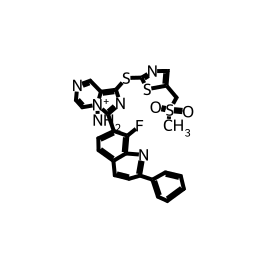 CS(=O)(=O)Cc1cnc(SC2=C3C=NC=C[N+]3(N)C(c3ccc4ccc(-c5ccccc5)nc4c3F)=N2)s1